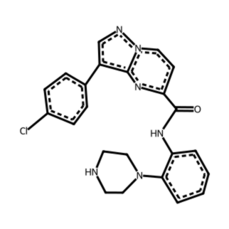 O=C(Nc1ccccc1N1CCNCC1)c1ccn2ncc(-c3ccc(Cl)cc3)c2n1